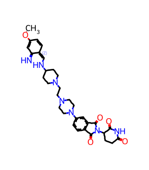 COC1=CC(=N)/C(=C\NC2CCN(CCN3CCN(c4ccc5c(c4)C(=O)N(C4CCC(=O)NC4=O)C5=O)CC3)CC2)C=C1